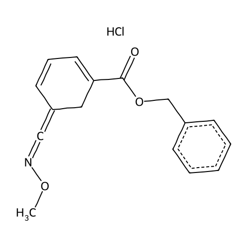 CON=C=C1C=CC=C(C(=O)OCc2ccccc2)C1.Cl